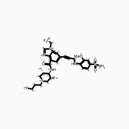 COc1cc(S(N)(=O)=O)ccc1NCC#Cc1cc(C(=O)N[C@@H]2[C@@H](C)CN(CCCF)C[C@@H]2F)c2ncn(CC(F)(F)F)c2c1